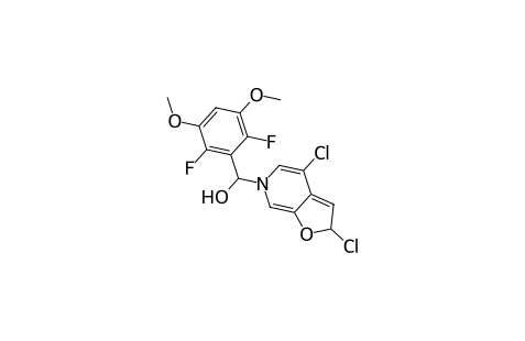 COc1cc(OC)c(F)c(C(O)N2C=C(Cl)C3=CC(Cl)OC3=C2)c1F